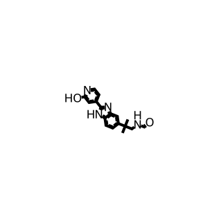 CC(C)(CNC=O)c1ccc2[nH]c(-c3ccnc(O)c3)nc2c1